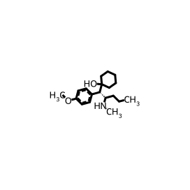 CCCC(NC)[C@H](c1ccc(OC)cc1)C1(O)CCCCC1